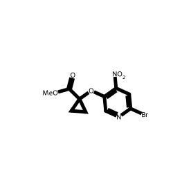 COC(=O)C1(Oc2cnc(Br)cc2[N+](=O)[O-])CC1